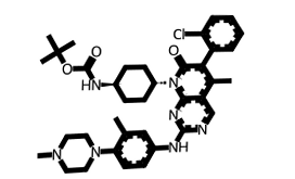 Cc1cc(Nc2ncc3c(C)c(-c4ccccc4Cl)c(=O)n([C@H]4CC[C@H](NC(=O)OC(C)(C)C)CC4)c3n2)ccc1N1CCN(C)CC1